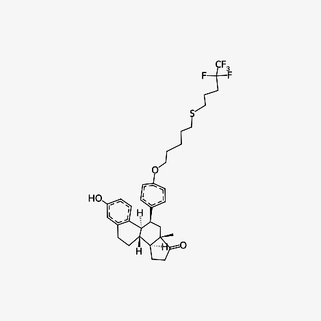 C[C@]12C[C@H](c3ccc(OCCCCCSCCCC(F)(F)C(F)(F)F)cc3)[C@@H]3c4ccc(O)cc4CC[C@H]3[C@@H]1CCC2=O